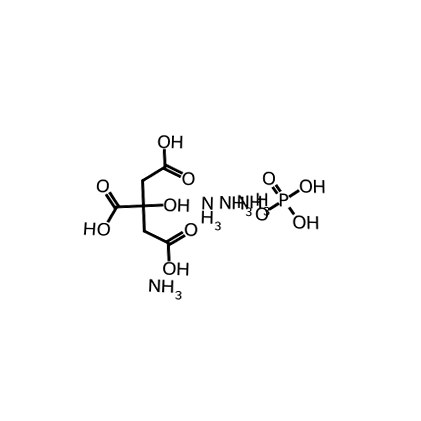 N.N.N.N.O=C(O)CC(O)(CC(=O)O)C(=O)O.O=P(O)(O)O